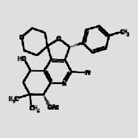 CC(=O)O[C@H]1c2nc(C(C)C)c3c(c2C(O)CC1(C)C)C1(CCOCC1)O[C@@H]3c1ccc(C(F)(F)F)cc1